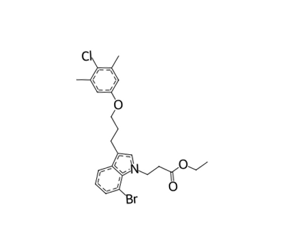 CCOC(=O)CCn1cc(CCCOc2cc(C)c(Cl)c(C)c2)c2cccc(Br)c21